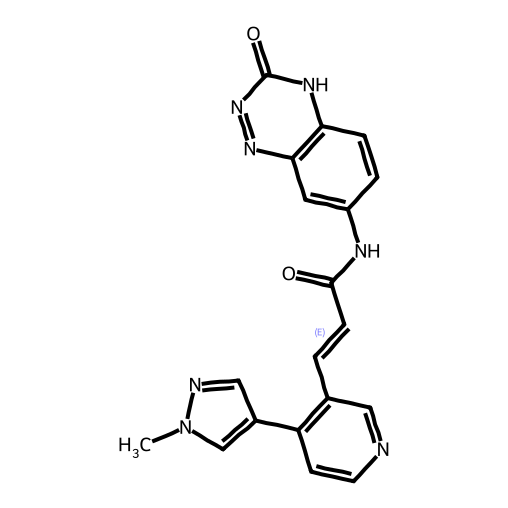 Cn1cc(-c2ccncc2/C=C/C(=O)Nc2ccc3[nH]c(=O)nnc3c2)cn1